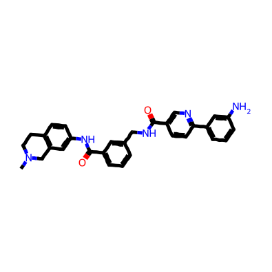 CN1CCc2ccc(NC(=O)c3cccc(CNC(=O)c4ccc(-c5cccc(N)c5)nc4)c3)cc2C1